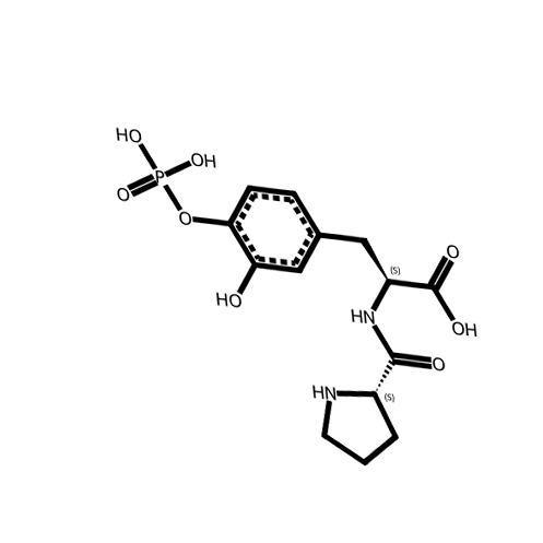 O=C(O)[C@H](Cc1ccc(OP(=O)(O)O)c(O)c1)NC(=O)[C@@H]1CCCN1